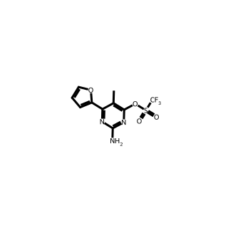 Cc1c(OS(=O)(=O)C(F)(F)F)nc(N)nc1-c1ccco1